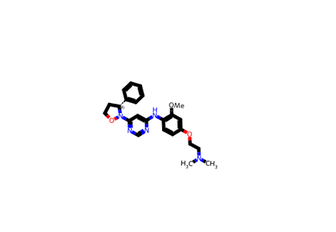 COc1cc(OCCN(C)C)ccc1Nc1cc(N2OCC[C@@H]2c2ccccc2)ncn1